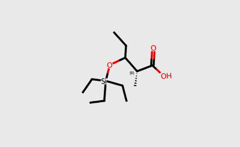 CCC(O[Si](CC)(CC)CC)[C@@H](C)C(=O)O